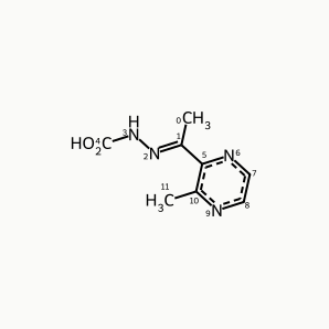 CC(=NNC(=O)O)c1nccnc1C